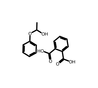 CC(O)Oc1ccccc1.O=C(O)c1ccccc1C(=O)O